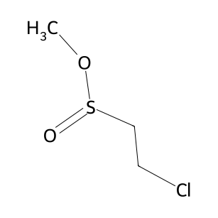 COS(=O)CCCl